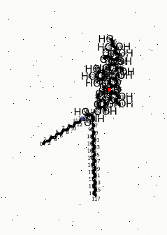 CCCCCCCCCCCCC/C=C/[C@@H](O)[C@H](CO[C@@H]1OC(CO)[C@@H](O[C@@H]2OC(CO)[C@H](O)[C@H](O[C@@H]3OC(CO)[C@@H](O[C@@H]4OC(CO)[C@H](O)[C@H](O[C@]5(C(=O)O)CC(O)[C@@H](O)C([C@H](O)[C@H](O)CO)O5)C4O)[C@H](O[C@H]4OC(C)[C@@H](O)C(O)[C@@H]4O)C3NC(C)=O)C2O)[C@H](O)C1O)NC(=O)CCCCCCCCCCCCCCCCCCCCC